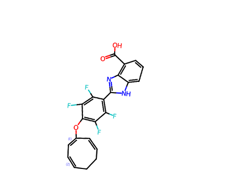 O=C(O)c1cccc2[nH]c(-c3c(F)c(F)c(O/C4=C/C=C\CCC=C4)c(F)c3F)nc12